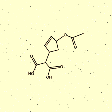 CC(=O)OC1C=CC(C(C(=O)O)C(=O)O)C1